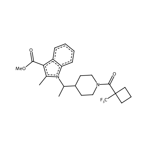 COC(=O)c1c(C)n(C(C)C2CCN(C(=O)C3(C(F)(F)F)CCC3)CC2)c2ccccc12